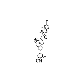 C[C@H](N(Cc1ccc(F)cc1)C(=O)CN1CO[C@]2(C(=O)Cc3cc(-c4cnc(C#N)c(F)c4)ccc32)C1=O)C(F)(F)F